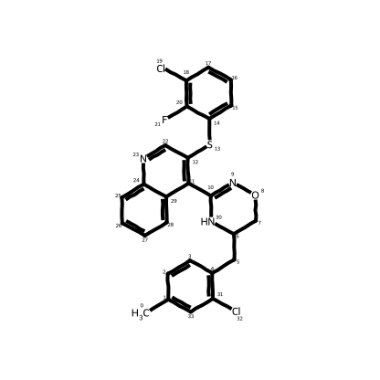 Cc1ccc(CC2CON=C(c3c(Sc4cccc(Cl)c4F)cnc4ccccc34)N2)c(Cl)c1